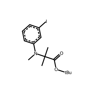 CN(c1cccc(I)c1)C(C)(C)C(=O)OC(C)(C)C